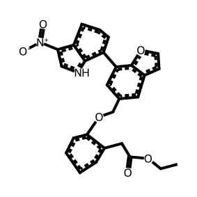 CCOC(=O)Cc1ccccc1OCc1cc(-c2cccc3c([N+](=O)[O-])c[nH]c23)c2occc2c1